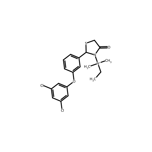 CC[N+](C)(C)N1C(=O)CSC1c1cccc(Oc2cc(Cl)cc(Cl)c2)c1